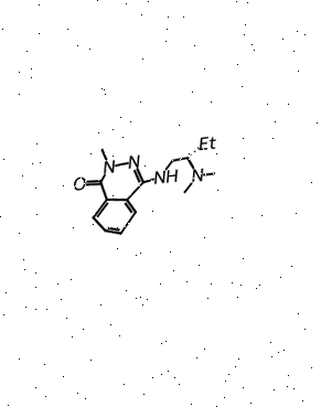 CC[C@@H](CNc1nn(C)c(=O)c2ccccc12)N(C)C